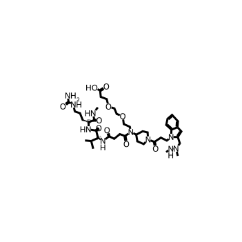 CNC(=O)[C@H](CCCNC(N)=O)NC(=O)[C@@H](NC(=O)CCC(=O)N(CCOCCOCCC(=O)O)C1CCN(C(=O)CCn2c(CN(C)NC)cc3ccccc32)CC1)C(C)C